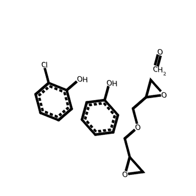 C(OCC1CO1)C1CO1.C=O.Oc1ccccc1.Oc1ccccc1Cl